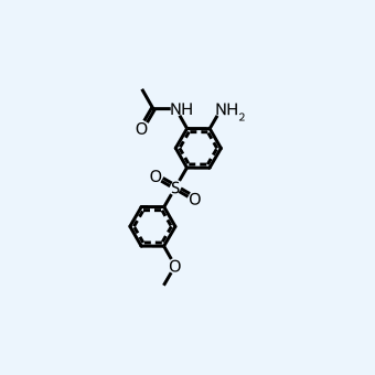 COc1cccc(S(=O)(=O)c2ccc(N)c(NC(C)=O)c2)c1